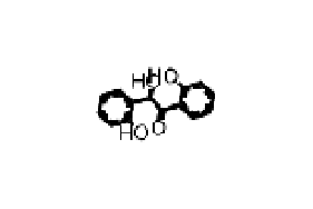 O=C(c1ccccc1O)C(O)c1ccccc1O